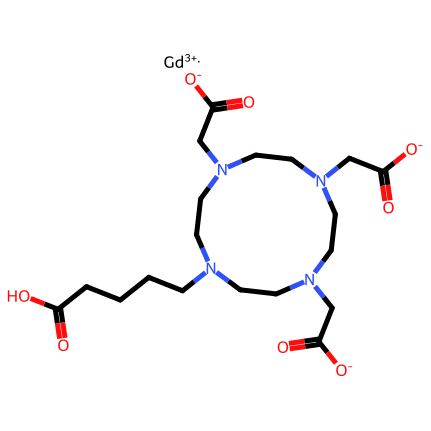 O=C([O-])CN1CCN(CCCCC(=O)O)CCN(CC(=O)[O-])CCN(CC(=O)[O-])CC1.[Gd+3]